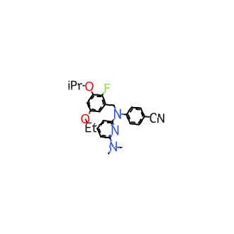 CCOc1cc(CN(c2ccc(C#N)cc2)c2cccc(N(C)C)n2)c(F)c(OC(C)C)c1